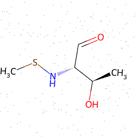 CSN[C@H](C=O)[C@@H](C)O